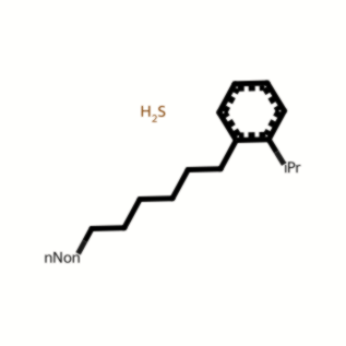 CCCCCCCCCCCCCCCc1ccccc1C(C)C.S